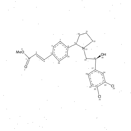 COC(=O)/C=C/c1ccc(C2CCCN2C[C@@H](O)c2ccc(Cl)c(Cl)c2)cc1